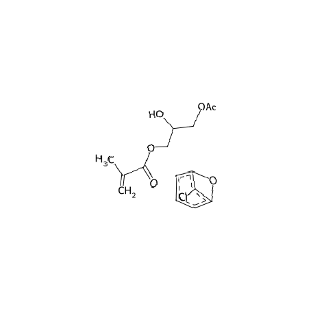 C=C(C)C(=O)OCC(O)COC(C)=O.Clc1c2cccc1O2